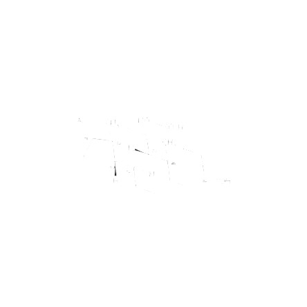 CC(=O)[C@H]1CC[C@H]2[C@@H]3CC=C4C[C@@H](O)CC[C@]4(C)[C@H]3CC[C@]12C.O=S(=O)(O)O